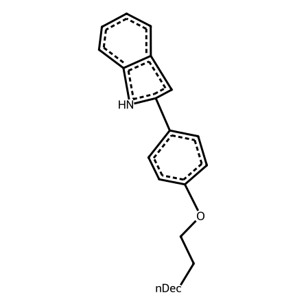 CCCCCCCCCCCCOc1ccc(-c2cc3ccccc3[nH]2)cc1